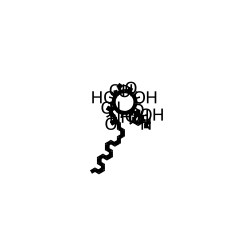 CC/C=C\C/C=C\C/C=C\C/C=C\C/C=C\C/C=C\CCC(=O)N[C@@H](C)C(=O)N1C[C@H](C)C[C@@](C)(O)[C@H](OC2O[C@H](C)C[C@H](N(C)C)[C@H]2O)[C@@H](C)[C@H](O)[C@@H](C)C(=O)O[C@H](CC)[C@@](C)(O)[C@H](O)[C@H]1C